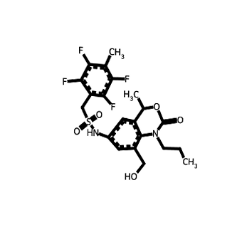 CCCN1C(=O)OC(C)c2cc(NS(=O)(=O)Cc3c(F)c(F)c(C)c(F)c3F)cc(CO)c21